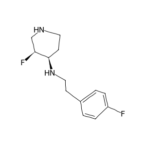 Fc1ccc(CCN[C@@H]2CCNC[C@@H]2F)cc1